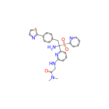 CN(C)C(=O)CNc1cccc(C(N)(Cc2ccc(-c3nccs3)cc2)S(=O)(=O)c2ccccn2)n1